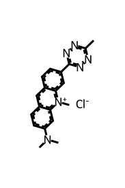 Cc1nnc(-c2ccc3cc4ccc(N(C)C)cc4[n+](C)c3c2)nn1.[Cl-]